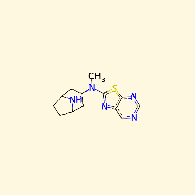 CN(c1nc2cncnc2s1)C1CC2CCC(C1)N2